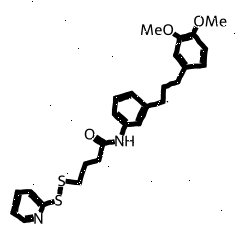 COc1ccc(CC[CH]c2cccc(NC(=O)CCCSSc3ccccn3)c2)cc1OC